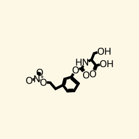 O=C(NC(CO)C(=O)O)Oc1cccc(CCO[N+](=O)[O-])c1